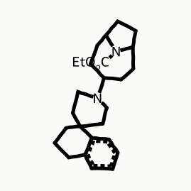 CCOC(=O)N1C2CCC(N3CCC4(CCCc5ccccc54)CC3)CCC1CC2